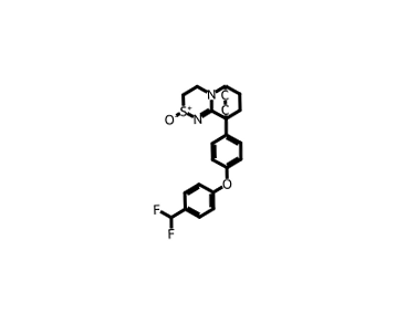 [O-][S+]1CCN2C(=N1)C1(c3ccc(Oc4ccc(C(F)F)cc4)cc3)CCC2CC1